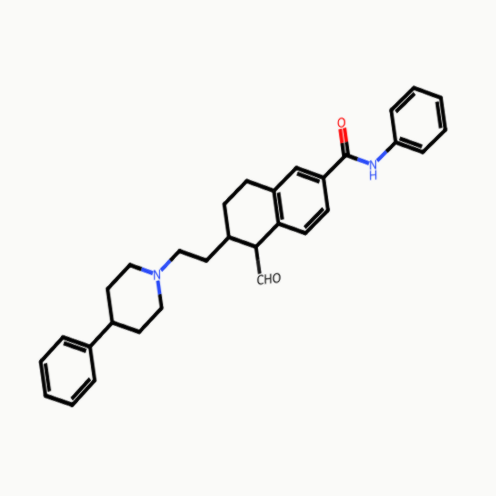 O=CC1c2ccc(C(=O)Nc3ccccc3)cc2CCC1CCN1CCC(c2ccccc2)CC1